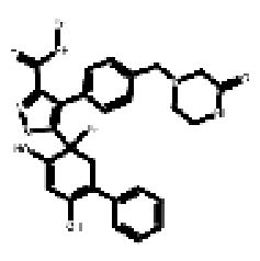 CCNC(=O)c1noc(C2(C(C)C)CC(c3ccccc3)=C(O)C=C2O)c1-c1ccc(CN2CCNC(=O)C2)cc1